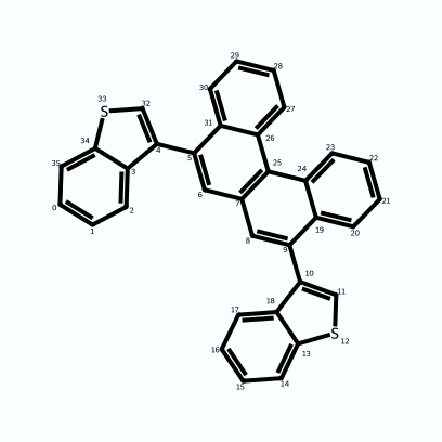 c1ccc2c(-c3cc4cc(-c5csc6ccccc56)c5ccccc5c4c4ccccc34)csc2c1